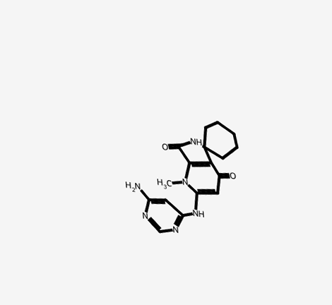 Cn1c(Nc2cc(N)ncn2)cc(=O)c2c1C(=O)NC21CCCCC1